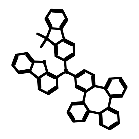 CC1(C)c2ccccc2-c2ccc(N(c3ccc4c(c3)-c3ccccc3-c3ccccc3-c3ccccc3-4)c3cccc4c3sc3ccccc34)cc21